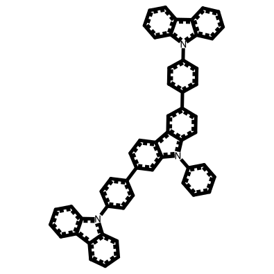 c1ccc(-n2c3ccc(-c4ccc(-n5c6ccccc6c6ccccc65)cc4)cc3c3ccc(-c4ccc(-n5c6ccccc6c6ccccc65)cc4)cc32)cc1